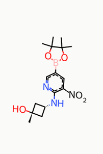 CC1(C)OB(c2cnc(N[C@H]3C[C@@](C)(O)C3)c([N+](=O)[O-])c2)OC1(C)C